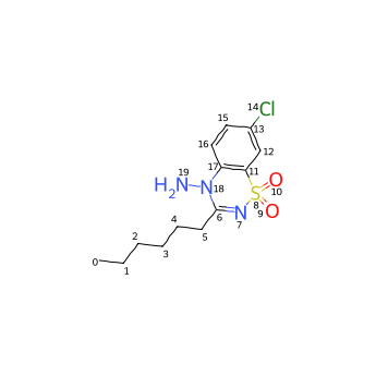 CCCCCCC1=NS(=O)(=O)c2cc(Cl)ccc2N1N